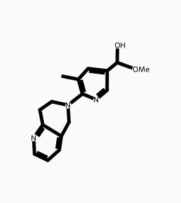 COC(O)c1cnc(N2CCc3ncccc3C2)c(C)c1